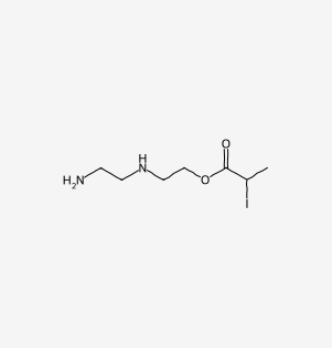 CC(I)C(=O)OCCNCCN